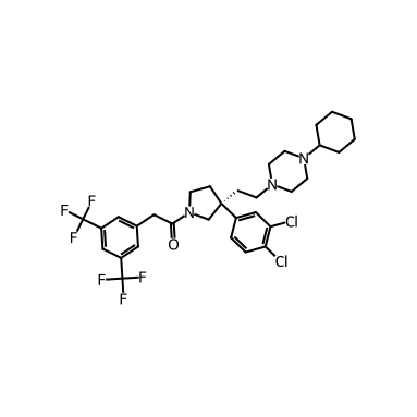 O=C(Cc1cc(C(F)(F)F)cc(C(F)(F)F)c1)N1CC[C@@](CCN2CCN(C3CCCCC3)CC2)(c2ccc(Cl)c(Cl)c2)C1